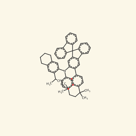 CC(C)c1cc2c(cc1N(c1ccccc1)c1cc3c(cc1-c1ccc4c(c1)C(C)(C)CCC4(C)C)-c1ccccc1C31c3ccccc3-c3ccccc31)CCCC2